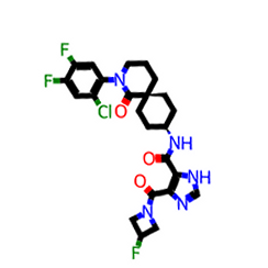 O=C(N[C@H]1CC[C@@]2(CCCN(c3cc(F)c(F)cc3Cl)C2=O)CC1)c1[nH]cnc1C(=O)N1CC(F)C1